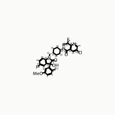 COc1ccc(F)c(C2(O)C(=O)N(C[C@H]3CC[C@H](NC(=O)c4cc(Cl)cnc4C(F)F)CC3)c3ccc(F)cc32)c1